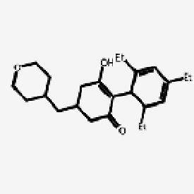 CCC1=CC(CC)C(C2=C(O)CC(CC3CCOCC3)CC2=O)C(CC)=C1